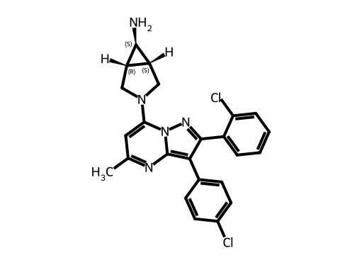 Cc1cc(N2C[C@@H]3[C@@H](N)[C@@H]3C2)n2nc(-c3ccccc3Cl)c(-c3ccc(Cl)cc3)c2n1